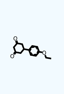 CCOc1ccc(C2CC(=O)CC(=O)C2)cc1